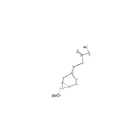 CO[C@H]1C2CCC(CCC(=O)OC(C)(C)C)CC21